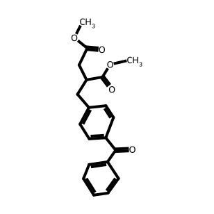 COC(=O)CC(Cc1ccc(C(=O)c2ccccc2)cc1)C(=O)OC